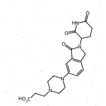 O=C(O)CCN1CCN(c2ccc3c(c2)C(=O)N(C2CCC(=O)NC2=O)C3)CC1